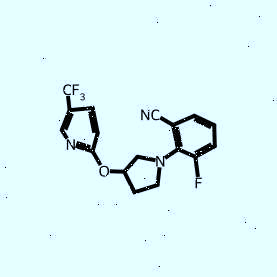 N#Cc1cccc(F)c1N1CCC(Oc2ccc(C(F)(F)F)cn2)C1